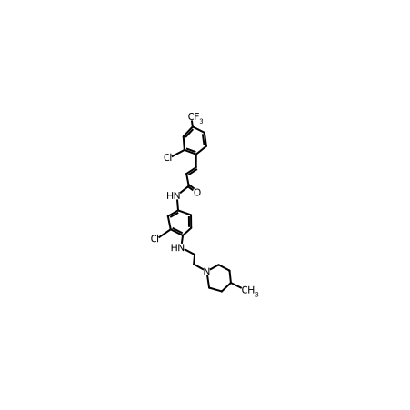 CC1CCN(CCNc2ccc(NC(=O)C=Cc3ccc(C(F)(F)F)cc3Cl)cc2Cl)CC1